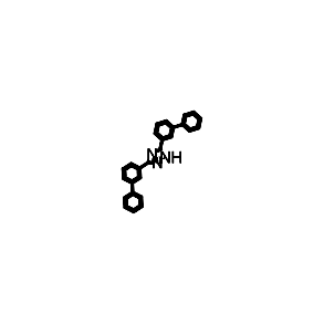 c1ccc(-c2cccc(C3N[N@]4C(c5cccc(-c6ccccc6)c5)N34)c2)cc1